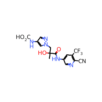 CC(O)(Cn1cc(NC(=O)O)cn1)C(=O)Nc1cnc(C#N)c(C(F)(F)F)c1